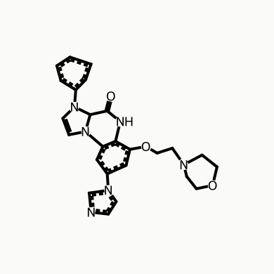 O=C1Nc2c(OCCN3CCOCC3)cc(-n3ccnc3)cc2N2C=CN(c3ccccc3)C12